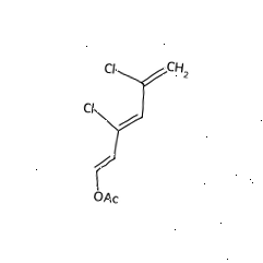 C=C(Cl)C=C(Cl)C=COC(C)=O